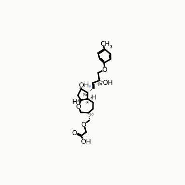 Cc1ccc(OC[C@H](O)/C=C/[C@@H]2[C@H]3CC[C@H](COCC(=O)O)CO[C@H]3C[C@H]2O)cc1